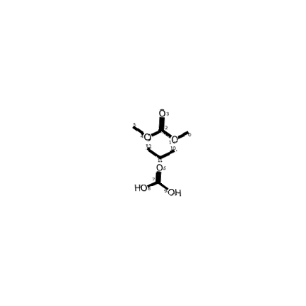 COC(=O)OC.O=C(O)O.[CH2]CC